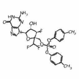 Cc1ccc(OP(=O)(OC[C@@]2(C(F)F)O[C@@H](n3cnc4c(=O)[nH]c(N)nc43)[C@H](O)[C@H]2F)Oc2ccc(C)cc2)cc1